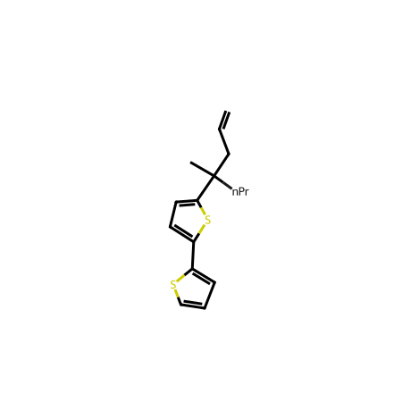 C=CCC(C)(CCC)c1ccc(-c2cccs2)s1